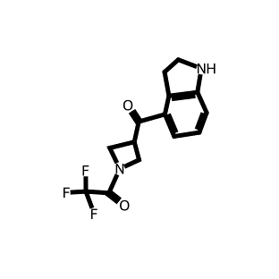 O=C(c1cccc2c1CCN2)C1CN(C(=O)C(F)(F)F)C1